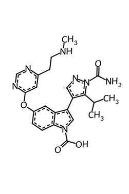 CNCCc1cc(Oc2ccc3c(c2)c(-c2[c]nn(C(N)=O)c2C(C)C)cn3C(=O)O)ncn1